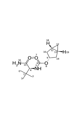 CC(C)(C)[C@H](NC(=O)O[C@@H]1C[C@@H]2C[C@@H]2C1)C(N)=O